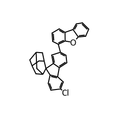 Clc1ccc2c(c1)-c1ccc(-c3cccc4c3oc3ccccc34)cc1C21C2CC3CC(C2)CC1C3